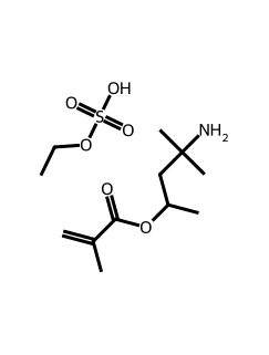 C=C(C)C(=O)OC(C)CC(C)(C)N.CCOS(=O)(=O)O